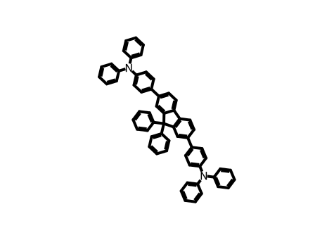 c1ccc(N(c2ccccc2)c2ccc(-c3ccc4c(c3)C(c3ccccc3)(c3ccccc3)c3cc(-c5ccc(N(c6ccccc6)c6ccccc6)cc5)ccc3-4)cc2)cc1